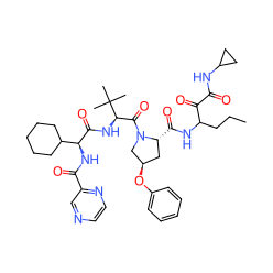 CCCC(NC(=O)[C@@H]1C[C@@H](Oc2ccccc2)CN1C(=O)[C@@H](NC(=O)[C@@H](NC(=O)c1cnccn1)C1CCCCC1)C(C)(C)C)C(=O)C(=O)NC1CC1